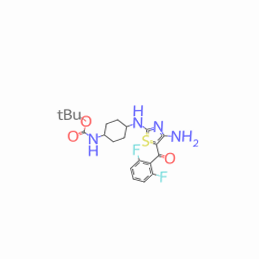 CC(C)(C)OC(=O)NC1CCC(Nc2nc(N)c(C(=O)c3c(F)cccc3F)s2)CC1